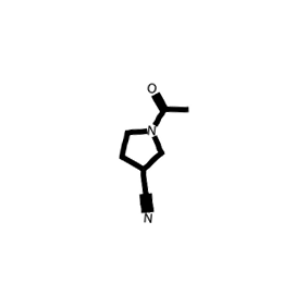 CC(=O)N1CCC(C#N)C1